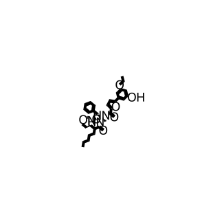 CCCCCC(C(=O)NCNC(=O)c1ccc(-c2cc(O)cc(OCC)c2)o1)[C@@H](CC)N(C=O)OCc1ccccc1